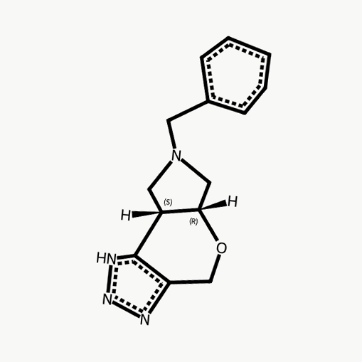 c1ccc(CN2C[C@@H]3OCc4nn[nH]c4[C@@H]3C2)cc1